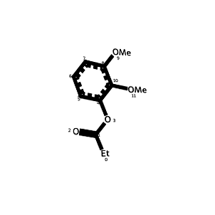 CCC(=O)Oc1[c]ccc(OC)c1OC